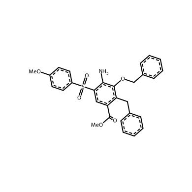 COC(=O)c1cc(S(=O)(=O)c2ccc(OC)cc2)c(N)c(OCc2ccccc2)c1Cc1ccccc1